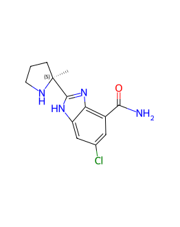 C[C@@]1(c2nc3c(C(N)=O)cc(Cl)cc3[nH]2)CCCN1